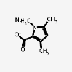 Cc1cc(C)n(C)c1C(=O)[O-].[Na+]